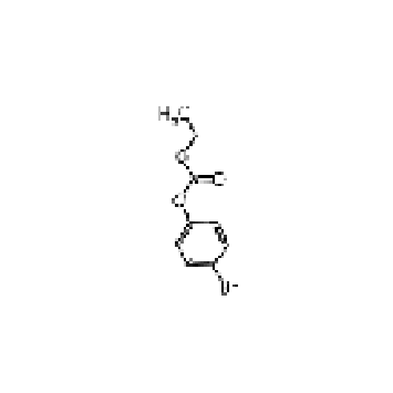 CCOC(=O)Oc1ccc(Br)cc1